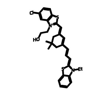 CCN1/C(=C/C=C/C2=CC(=C/c3sc4ccc(Cl)cc4[n+]3CCO)/CC(C)(C)C2)Sc2ccccc21